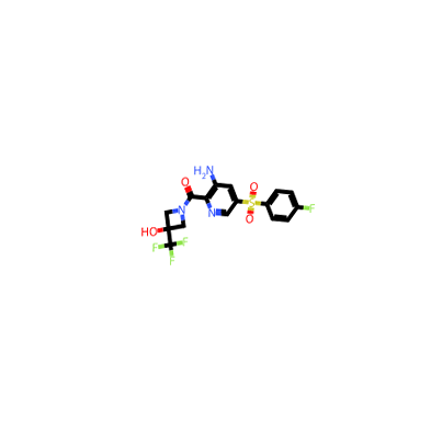 Nc1cc(S(=O)(=O)c2ccc(F)cc2)cnc1C(=O)N1CC(O)(C(F)(F)F)C1